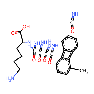 Cc1cccc2c1=c1ccccc1=2.N=C=O.N=C=O.N=C=O.N=C=O.N=C=O.NCCCCC(N)C(=O)O